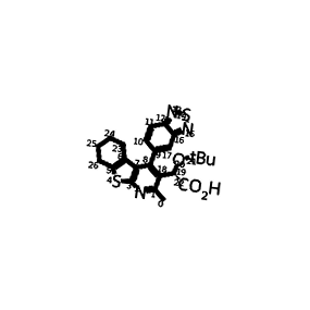 Cc1nc2sc3c(c2c(-c2ccc4nsnc4c2)c1[C@H](OC(C)(C)C)C(=O)O)CCCC3